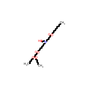 CCCCCCCCCCCOC(=O)CCCCCN(CCO)CCCCCCCCOC(=O)CCC(OCCCCCC)OCCCCCC